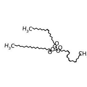 CCCCC/C=C\C/C=C\C/C=C\C/C=C\CCCC(=O)O[C@H](COC(=O)CCCCCCC/C=C\CCCCCCCCC)COC(=O)CCCCCCCCCCCCCCCCCCCC